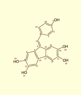 Oc1ccc(C=C2c3cc(O)c(O)cc3-c3cc(O)c(O)cc32)cc1